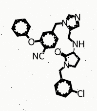 N#Cc1ccc(Cn2cncc2CN[C@@H]2CCN(Cc3cccc(Cl)c3)C2=O)cc1Oc1ccccc1